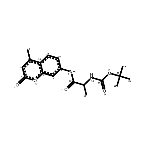 Cc1cc(=O)oc2cc(NC(=O)C(C)NC(=O)OC(C)(C)C)ccc12